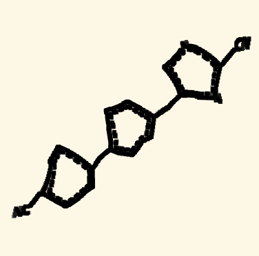 N#Cc1ccc(-c2ccc(-c3cnc(C#N)nc3)cc2)cc1